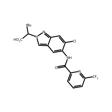 CC(C)(C)C(C(=O)O)n1cc2cc(NC(=O)c3cccc(C(F)(F)F)n3)c(Cl)cc2n1